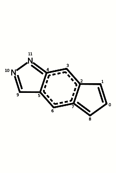 C1=Cc2cc3c(cc2=C1)C=NN=3